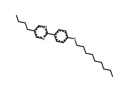 CCCCCCCCCSc1ccc(-c2ncc(CCCC)cn2)cc1